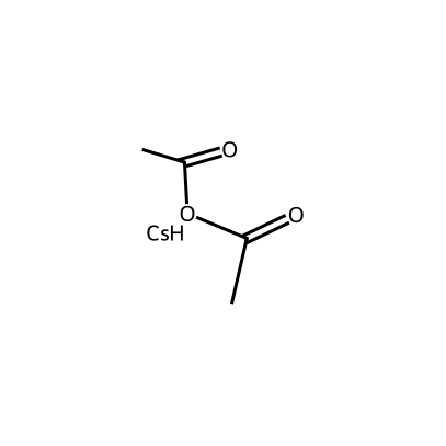 CC(=O)OC(C)=O.[CsH]